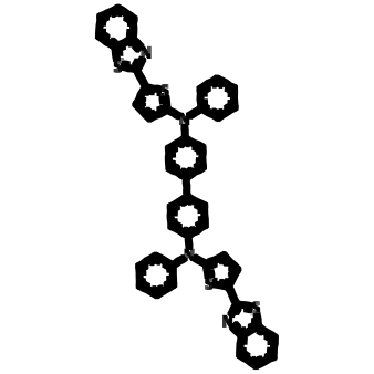 c1ccc(N(c2ccc(-c3ccc(N(c4ccccc4)c4ccc(-c5nc6ccccc6s5)s4)cc3)cc2)c2ccc(-c3nc4ccccc4s3)s2)cc1